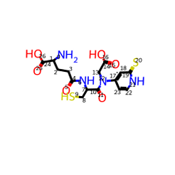 NC(CCC(=O)NC(CS)C(=O)N(CC(=O)O)c1[c]c(=S)[nH]cc1)C(=O)O